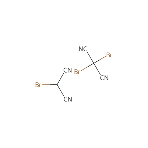 N#CC(Br)(Br)C#N.N#CC(Br)C#N